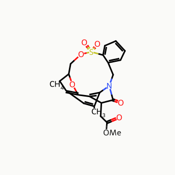 C.COC(=O)CC1C(=O)N2Cc3ccccc3S(=O)(=O)OCC3Cc4cc(C)c2c1c4O3